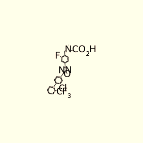 CN(CC(=O)O)Cc1ccc(-c2noc(-c3ccc(-c4ccccc4C(F)(F)F)c(Cl)c3)n2)cc1F